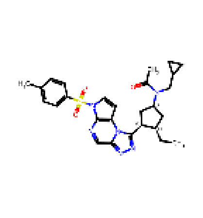 CC[C@@H]1C[C@H](N(CC2CC2)C(C)=O)C[C@@H]1c1nnc2cnc3c(ccn3S(=O)(=O)c3ccc(C)cc3)n12